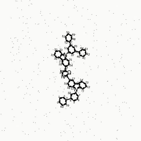 c1ccc(-c2cccc(-n3c4ccccc4c4cc(-c5nnc(-c6ccc7c(c6)c6ccccc6n7-c6cc(-c7ccccc7)cc(-c7ccccc7)c6)o5)ccc43)c2)cc1